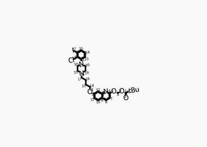 CC(C)(C)C(=O)OCOc1ccc2ccc(OCCCCN3CCN(c4cccc(I)c4Cl)CC3)cc2n1